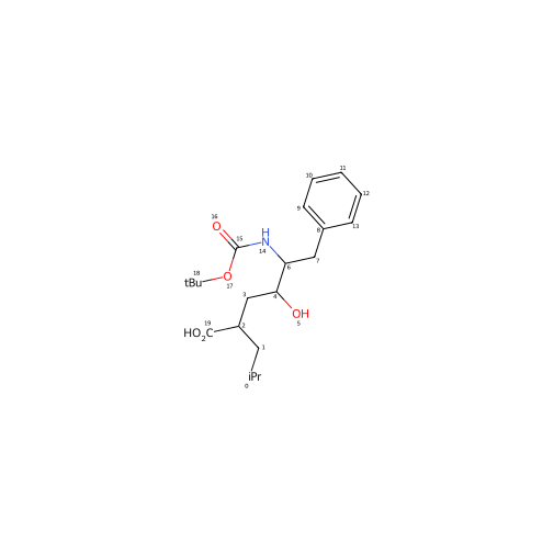 CC(C)CC(CC(O)C(Cc1ccccc1)NC(=O)OC(C)(C)C)C(=O)O